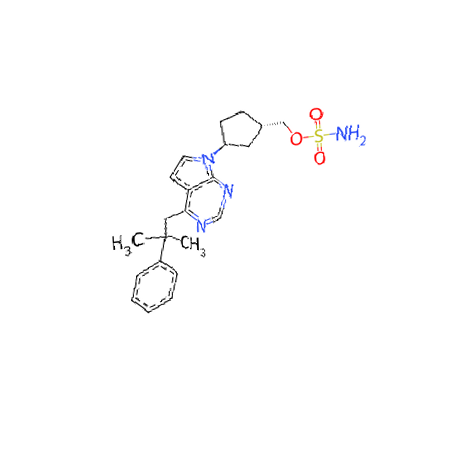 CC(C)(Cc1ncnc2c1ccn2[C@H]1CC[C@H](COS(N)(=O)=O)C1)c1ccccc1